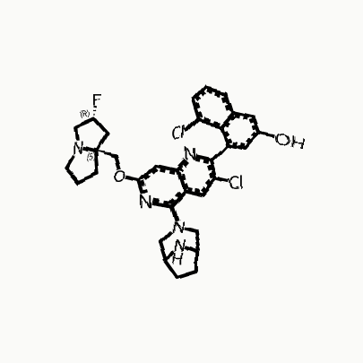 Oc1cc(-c2nc3cc(OC[C@@]45CCCN4C[C@H](F)C5)nc(N4CC5CCC(C4)N5)c3cc2Cl)c2c(Cl)cccc2c1